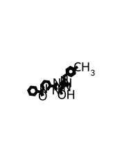 Cc1ccc(Cn2nnc3c(O)nc(C4CCCN(C(=O)C5CCCCC5)C4)nc32)cc1